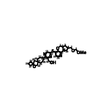 COCOCC1CC2COc3c(Sc4cnc(N5CCC6(CC5)COC5(CCC5)C6)c(CO)n4)ccnc3N2C1